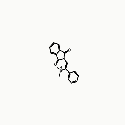 C[SiH](C)C(=CN1C(=O)c2ccccc2C1=O)c1ccccc1